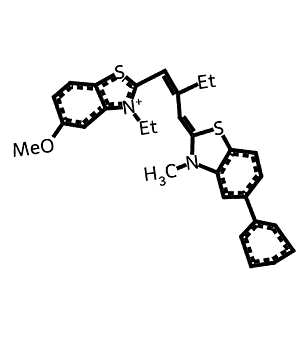 CCC(=Cc1sc2ccc(OC)cc2[n+]1CC)/C=C1\Sc2ccc(-c3ccccc3)cc2N1C